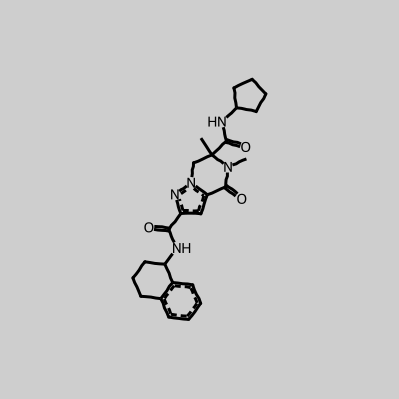 CN1C(=O)c2cc(C(=O)NC3CCCc4ccccc43)nn2CC1(C)C(=O)NC1CCCC1